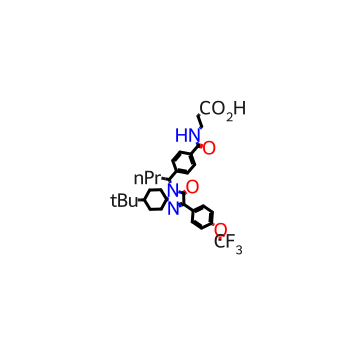 CCCC(c1ccc(C(=O)NCCC(=O)O)cc1)N1C(=O)C(c2ccc(OC(F)(F)F)cc2)=NC12CCC(C(C)(C)C)CC2